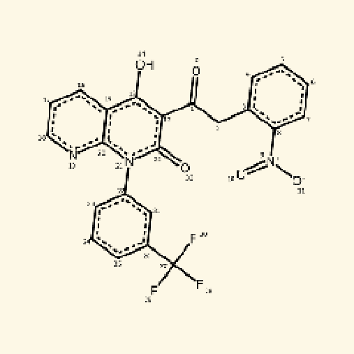 O=C(Cc1ccccc1[N+](=O)[O-])c1c(O)c2cccnc2n(-c2cccc(C(F)(F)F)c2)c1=O